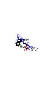 CCCc1nc2c(N)nc3ccccc3c2n1CCCNC(=NC(=O)O)N(C(=O)OC(C)(C)C)C(C)(C)C